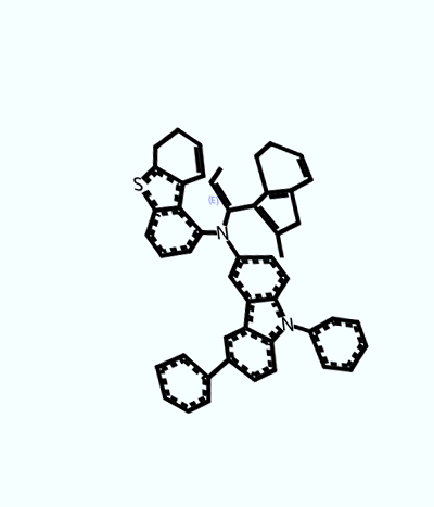 C/C=C(\C1=C(C)CC2=C1CCC=C2)N(c1ccc2c(c1)c1cc(-c3ccccc3)ccc1n2-c1ccccc1)c1cccc2sc3c(c12)C=CCC3